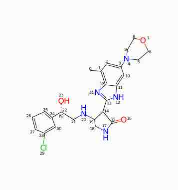 Cc1cc(N2CCOCC2)cc2[nH]c(C3C(=O)NCC3NC[C@@H](O)c3cccc(Cl)c3)nc12